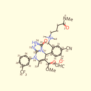 CNC(=O)CCC[N+](C)(C)Cc1cc(C#N)ccc1C1C(C(=O)OC)=C(C)N(c2cccc(C(F)(F)F)c2)c2n[nH]c(=O)n21.O=C[O-]